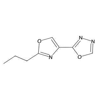 CCCc1nc(-c2nnco2)co1